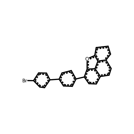 Brc1ccc(-c2ccc(-c3ccc4ccc5cccc6oc3c4c56)cc2)cc1